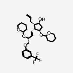 C=CC[C@@H]1[C@@H](/C=C/[C@H](COc2cccc(C(F)(F)F)c2)OC2CCCCO2)[C@H](OC2CCCCO2)C[C@@H]1O